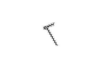 CCCCCCCCCCCCCCCCC[N+]1(CCCCCCC)CCCC1